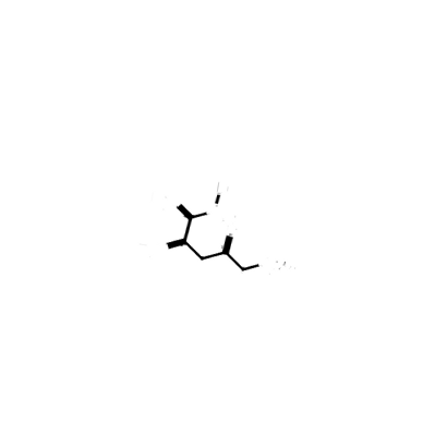 C=C(CC(=O)COC)C(=C)OCC